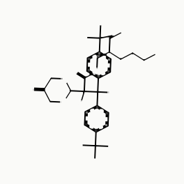 CCCCC(CC)COC(=O)C(O)(C1OCC(=O)CO1)C(O)(c1ccc(C(C)(C)C)cc1)c1ccc(C(C)(C)C)cc1